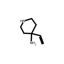 C=CC1(N)CCNCC1